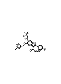 CNC(=O)c1c(-c2ccc(F)cc2)oc2cc(NCS(C)(=O)=O)c(OCc3cc(C)on3)cc12